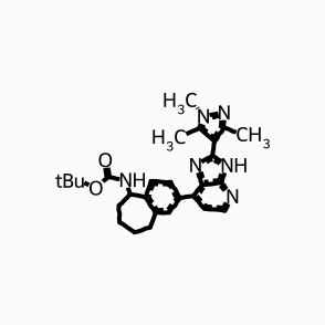 Cc1nn(C)c(C)c1-c1nc2c(-c3ccc4c(c3)CCCCC4NC(=O)OC(C)(C)C)ccnc2[nH]1